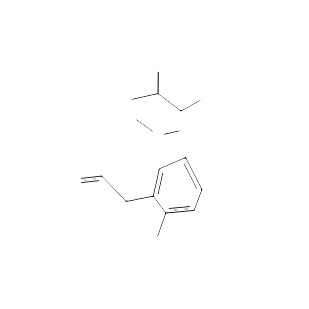 C=CCc1ccccc1O.CCOCC.O=C(O)CC(C(=O)O)S(=O)(=O)O